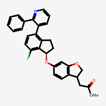 COC(=O)CC1COc2cc(O[C@@H]3CCc4c(-c5cccnc5-c5ccccc5)ccc(F)c43)ccc21